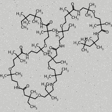 CCC(C)(C)CC(C)(C)CNC(=O)C(C)(C)CCOC(C)(C)CCNC(=O)C(C)(C)CCOC(C)(C)CCNC(=O)CC(C)(CC)COCC(C)(CC)CNCC(C)(CC)COCC(C)(CC)CC(=O)NCCC(C)(CC)OCCC(C)(C)C(=O)NCC(C)(C)OCCC(C)(C)C(=O)NCC(C)(C)CC(C)(C)C